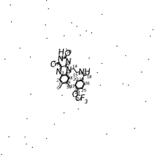 Cc1cc2nc3c(=O)[nH]c(=O)nc-3n(CCNC(C)c3ccc(OC(F)(F)F)cc3)c2cc1C